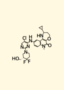 Cn1c(=O)c2c(c3cc(Nc4nc(N5CCC(F)(F)[C@H](CO)C5)ncc4Cl)ccc31)NC(C1CC1)CCO2